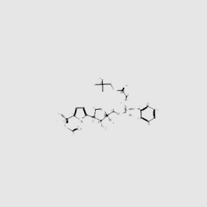 CCC(C)(C)COC(=O)[C@H](C)N[P@](=O)(OC[C@@]1(C#N)OC[C@](O)(c2ccc3c(N)ncnn23)[C@@H]1O)Oc1ccccc1